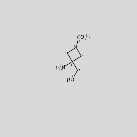 NC1(CO)CC(C(=O)O)C1